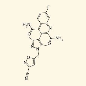 Cc1nn(Cc2cc(C#N)no2)c(C)c1-c1c(C(N)=O)nc2cc(F)ccc2c1C(N)=O